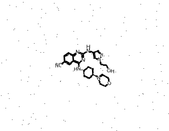 N#Cc1ccc2nc(Nc3cnn(CCO)c3)nc(N[C@H]3CC[C@H](N4CCOCC4)CC3)c2c1